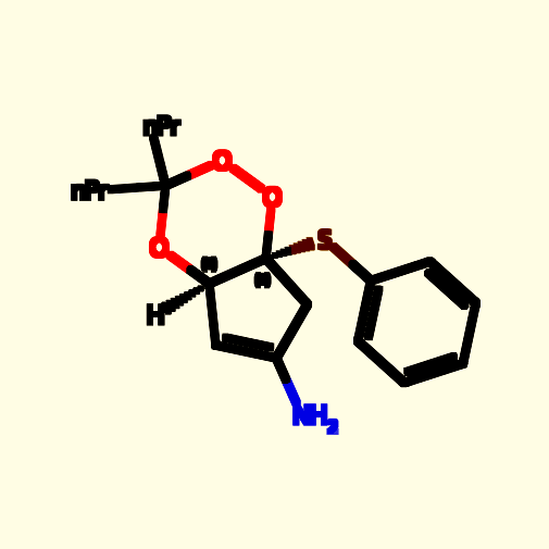 CCCC1(CCC)OO[C@@]2(Sc3ccccc3)CC(N)=C[C@H]2O1